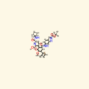 COC(=O)c1nc(C(=O)NC2(C)CCCC2)ccc1-c1cc2c(cc1C(=O)Nc1ccc(CNC(=O)OC(C)(C)C)cc1)-c1sccc1CCO2